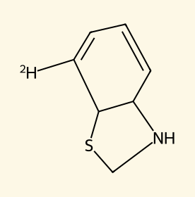 [2H]C1=CC=CC2NCSC12